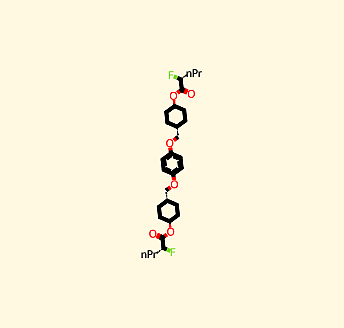 CCC[C@@H](F)C(=O)O[C@H]1CC[C@H](COc2ccc(OC[C@H]3CC[C@H](OC(=O)[C@H](F)CCC)CC3)cc2)CC1